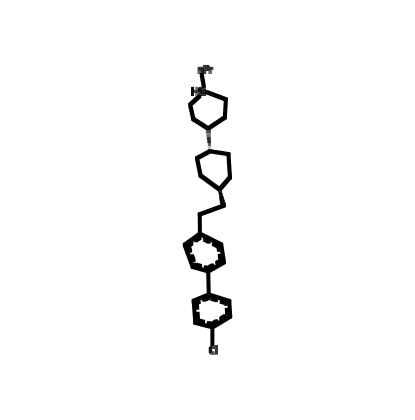 CCC[SiH]1CCC([C@H]2CC[C@H](CCc3ccc(-c4ccc(Cl)cc4)cc3)CC2)CC1